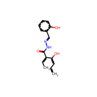 C=C/C=C(O)\C(=C/C)C(=O)N/N=C/c1ccccc1O